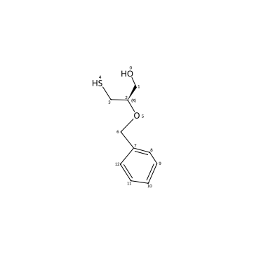 OC[C@H](CS)OCc1ccccc1